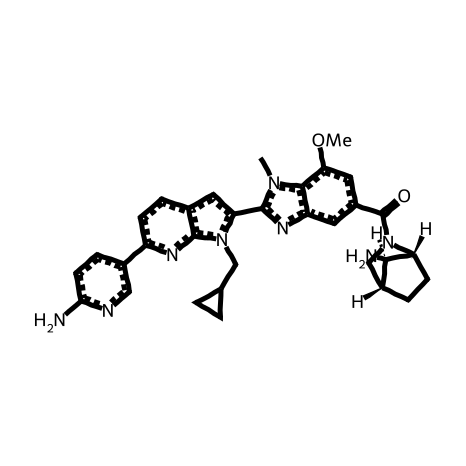 COc1cc(C(=O)N2C[C@H]3CC[C@@H]2[C@@H]3N)cc2nc(-c3cc4ccc(-c5ccc(N)nc5)nc4n3CC3CC3)n(C)c12